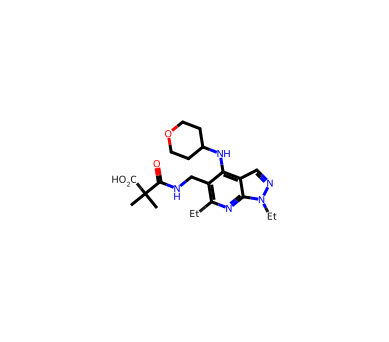 CCc1nc2c(cnn2CC)c(NC2CCOCC2)c1CNC(=O)C(C)(C)C(=O)O